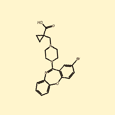 O=C(O)C1(CN2CCN(C3=Nc4ccccc4Oc4ccc(Br)cc43)CC2)CC1